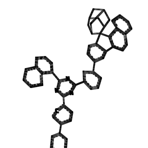 c1ccc(-c2ccc(-c3nc(-c4cccc(-c5ccc6c(c5)-c5ccc7ccccc7c5C65C6CC7CC(C6)CC5C7)c4)nc(-c4cccc5ccccc45)n3)cc2)cc1